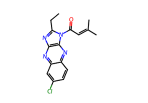 CCc1nc2nc3cc(Cl)ccc3nc2n1C(=O)C=C(C)C